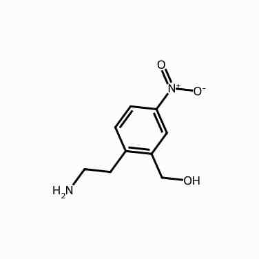 NCCc1ccc([N+](=O)[O-])cc1CO